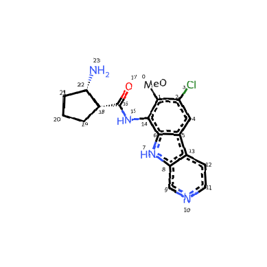 COc1c(Cl)cc2c([nH]c3cnccc32)c1NC(=O)[C@@H]1CCC[C@@H]1N